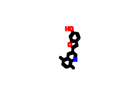 Cc1ccc(C)c2ncc(-c3cc4ccc(O)cc4o3)cc12